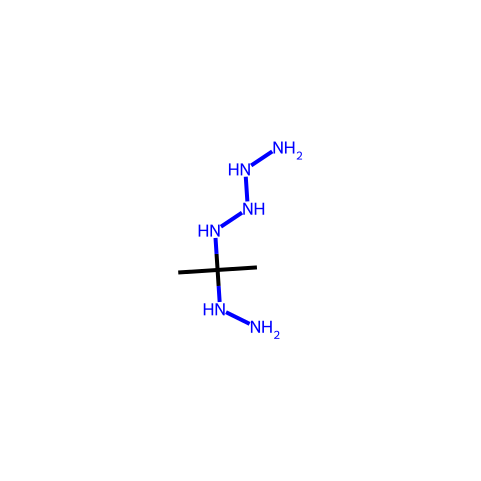 CC(C)(NN)NNNN